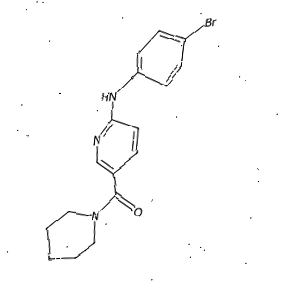 O=C(c1ccc(Nc2ccc(Br)cc2)nc1)N1CCCCC1